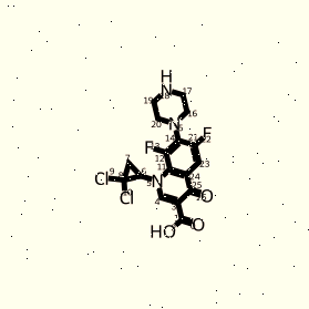 O=C(O)c1cn(C2CC2(Cl)Cl)c2c(F)c(N3CCNCC3)c(F)cc2c1=O